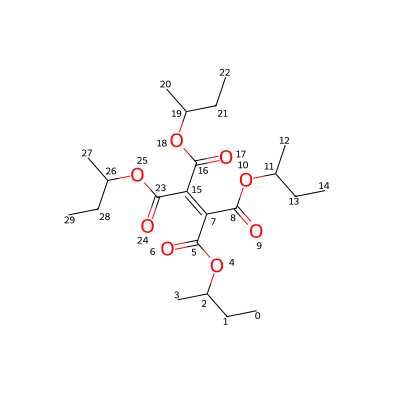 CCC(C)OC(=O)C(C(=O)OC(C)CC)=C(C(=O)OC(C)CC)C(=O)OC(C)CC